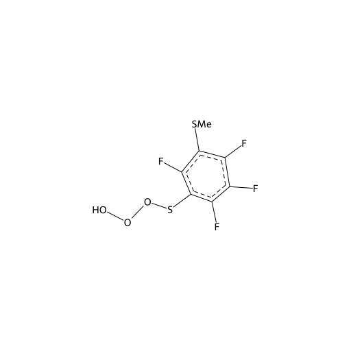 CSc1c(F)c(F)c(F)c(SOOO)c1F